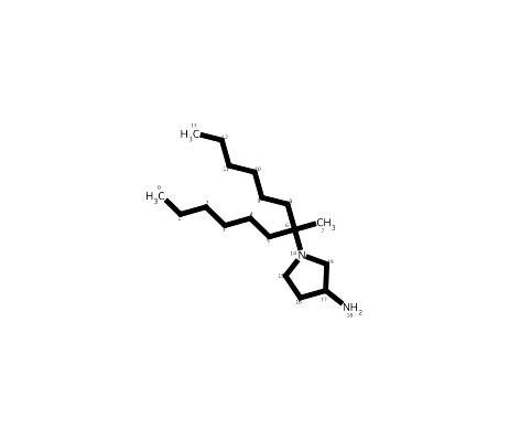 CCCCCCC(C)(CCCCCC)N1CCC(N)C1